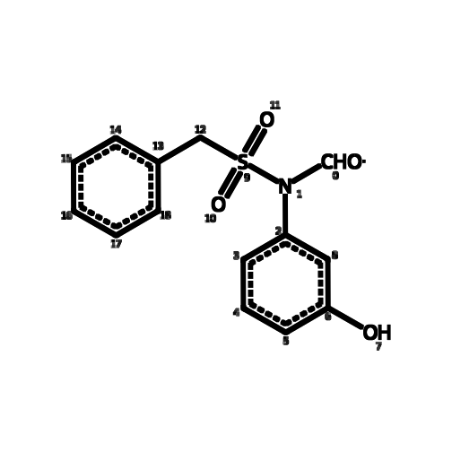 O=[C]N(c1cccc(O)c1)S(=O)(=O)Cc1ccccc1